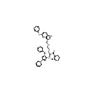 CC(C)(C)[C@H](c1nc(-c2ccccc2)cn1Cc1ccccc1)N(CCCNCc1n[nH]c2ccc(Oc3cccnc3)cc12)C(=O)c1ccccc1